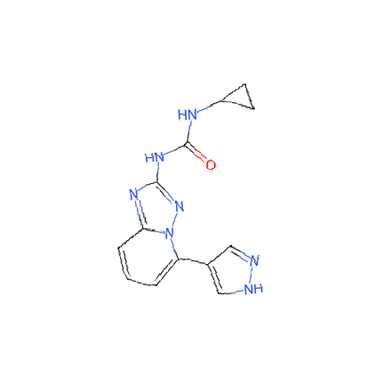 O=C(Nc1nc2cccc(-c3cn[nH]c3)n2n1)NC1CC1